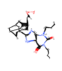 CCCn1c(=O)c2[nH]c(C34CC5CC(CC(CO)(C5)C3)C4)nc2n(CCC)c1=O